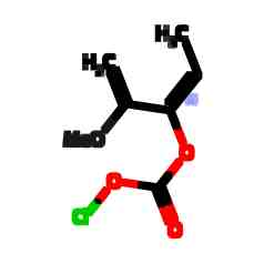 C=C(OC)/C(=C\C)OC(=O)OCl